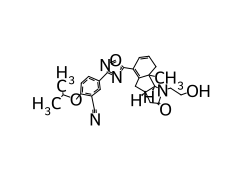 CC(C)Oc1ccc(-c2noc(C3=C4C[C@H]5CC(=O)N(CCO)[C@H]5C4(C)CC=C3)n2)cc1C#N